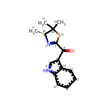 C[C@H]1N=C(C(=O)c2c[nH]c3ccccc23)SC1(C)C